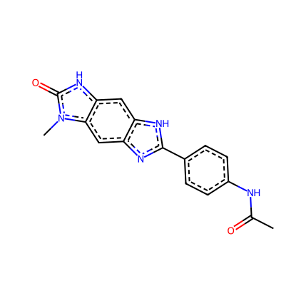 CC(=O)Nc1ccc(-c2nc3cc4c(cc3[nH]2)[nH]c(=O)n4C)cc1